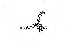 CCCCC1CCC(C2CCC(C(OC(c3ccc(OCC)cc3)C3CCC(C4CCC(CCCC)CC4)CC3)c3ccc(OCC)cc3)CC2)CC1